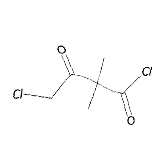 CC(C)(C(=O)Cl)C(=O)CCl